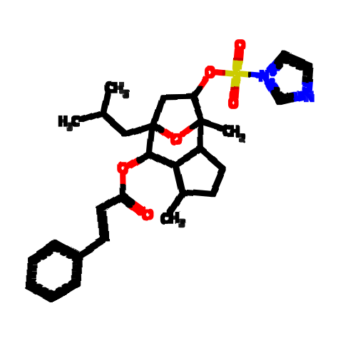 CC(C)CC12CC(OS(=O)(=O)n3ccnc3)C(C)(O1)C1CCC(C)C1C2OC(=O)/C=C/c1ccccc1